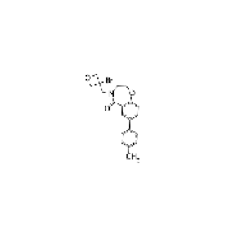 Cc1ccc(-c2ccc3c(c2)C(=O)N(CC2(Br)COC2)CCO3)cc1